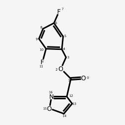 O=C(OCc1cc(F)ccc1F)c1ccon1